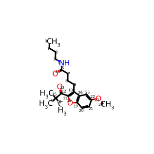 CCCCNC(=O)CCCc1c(C(=O)C(C)(C)C)oc2ccc(OC)cc12